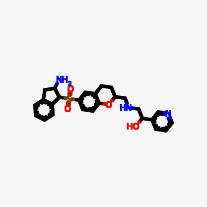 NC1Cc2ccccc2C1S(=O)(=O)c1ccc2c(c1)CCC(CNCC(O)c1cccnc1)O2